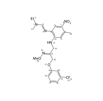 CCN(C)C=Nc1cc([N+](=O)[O-])c(C)cc1NCC(COc1cccc(C(F)(F)F)c1)=NOC